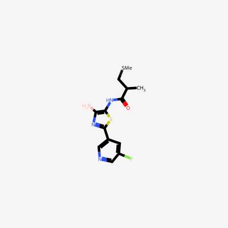 Bc1nc(-c2cncc(F)c2)sc1NC(=O)C(C)CSC